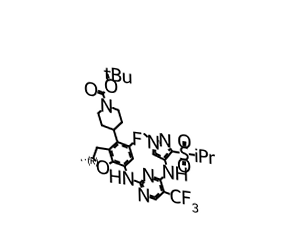 CC(C)S(=O)(=O)c1nn(C)cc1Nc1nc(Nc2cc(F)c(C3CCN(C(=O)OC(C)(C)C)CC3)c3c2O[C@H](C)C3)ncc1C(F)(F)F